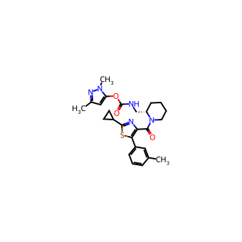 Cc1cccc(-c2sc(C3CC3)nc2C(=O)N2CCCC[C@H]2CNC(=O)Oc2cc(C)nn2C)c1